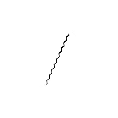 O=C(O)C=CC=CC=CC=CCCCCCCCCCCCO